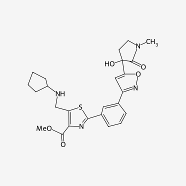 COC(=O)c1nc(-c2cccc(-c3cc(C4(O)CCN(C)C4=O)on3)c2)sc1CNC1CCCC1